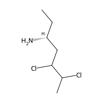 CC[C@@H](N)CC(Cl)C(C)Cl